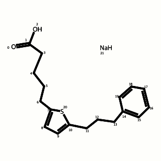 O=C(O)CCCCc1ccc(CCCc2ccccc2)s1.[NaH]